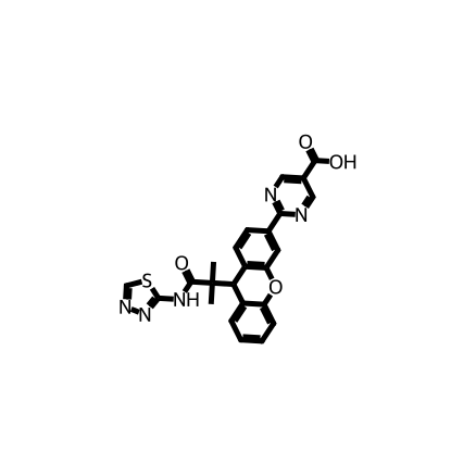 CC(C)(C(=O)Nc1nncs1)C1c2ccccc2Oc2cc(-c3ncc(C(=O)O)cn3)ccc21